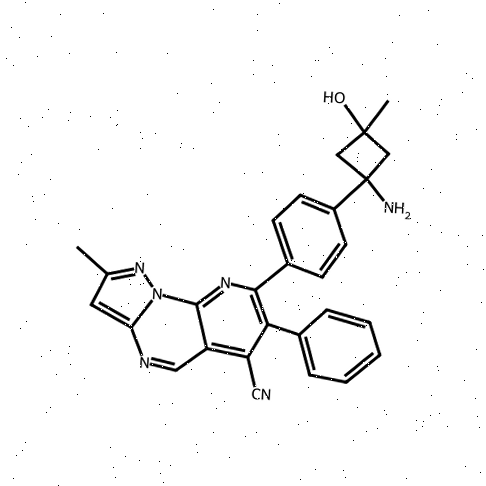 Cc1cc2ncc3c(C#N)c(-c4ccccc4)c(-c4ccc(C5(N)CC(C)(O)C5)cc4)nc3n2n1